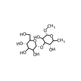 CO[C@@H]1OC(C)[C@H](O)C(O[C@H]2OC(CO)[C@@H](O)C(O)C2O)C1O